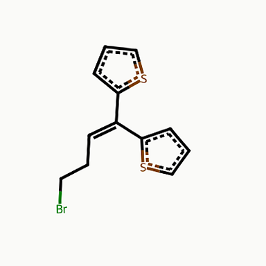 BrCCC=C(c1cccs1)c1cccs1